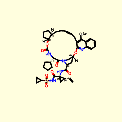 C=C[C@@H]1C[C@]1(NC(=O)[C@@H]1C[C@@H]2CN1C(=O)[C@H](C1CCCC1)NC(=O)O[C@@H]1CCC[C@H]1CCC=CCc1c(nc3ccccc3c1OC(C)=O)O2)C(=O)NS(=O)(=O)C1CC1